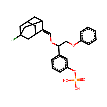 O=P(O)(O)Oc1cccc(C(COc2ccccc2)OC=C2C3CC4CC2CC(Cl)(C4)C3)c1